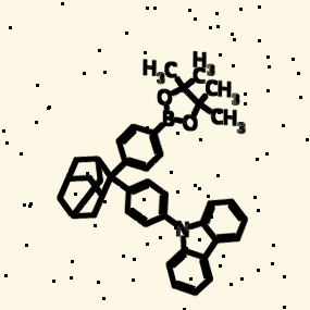 CC1(C)OB(c2ccc(C3(c4ccc(-n5c6ccccc6c6ccccc65)cc4)C4CC5CC(C4)CC3C5)cc2)OC1(C)C